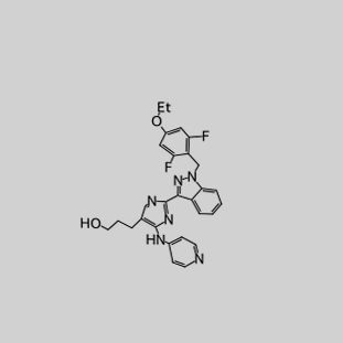 CCOc1cc(F)c(Cn2nc(-c3ncc(CCCO)c(Nc4ccncc4)n3)c3ccccc32)c(F)c1